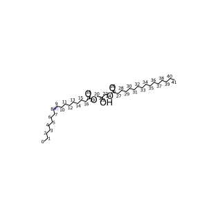 CCCCCCCC/C=C\CCCCCCCC(=O)OCC(O)COC(=O)CCCCCCCCCCCCCCC